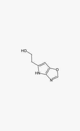 OCCc1cc2ocnc2[nH]1